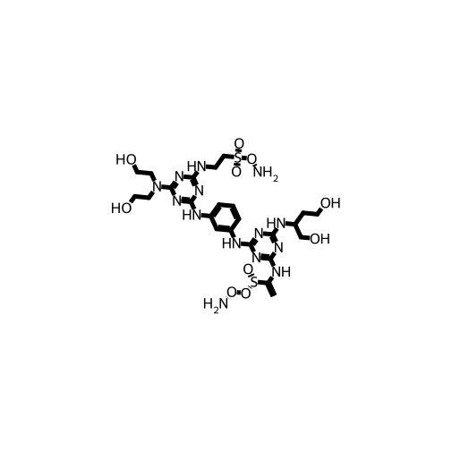 C=C(Nc1nc(Nc2cccc(Nc3nc(NCCS(=O)(=O)ON)nc(N(CCO)CCO)n3)c2)nc(NC(CO)CCO)n1)S(=O)OON